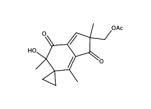 CC(=O)OCC1(C)C=C2C(=O)C(C)(O)C3(CC3)C(C)=C2C1=O